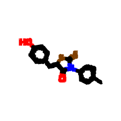 Cc1ccc(N2C(=O)/C(=C/c3ccc(O)cc3)SC2=S)cc1